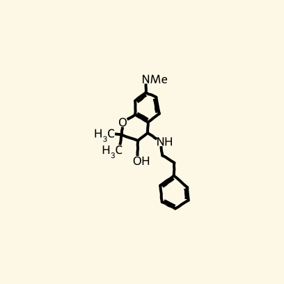 CNc1ccc2c(c1)OC(C)(C)C(O)C2NCCc1ccccc1